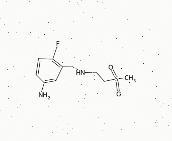 CS(=O)(=O)CCNCc1cc(N)ccc1F